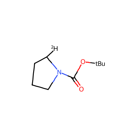 [2H]C1CCCN1C(=O)OC(C)(C)C